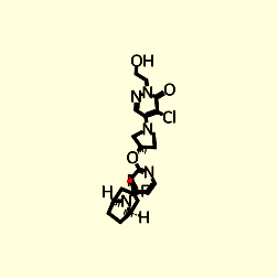 O=c1c(Cl)c(N2CC[C@@H](Oc3cc(N4[C@@H]5CC[C@H]4CC(F)(F)C5)ccn3)C2)cnn1CCO